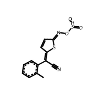 Cc1ccccc1/C(C#N)=C1\C=CC(=NO[SH](=O)=O)S1